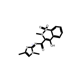 Cc1cn(C)/c(=N\C(=O)C2=C(O)c3ccccc3S(=O)(=O)N2C)s1